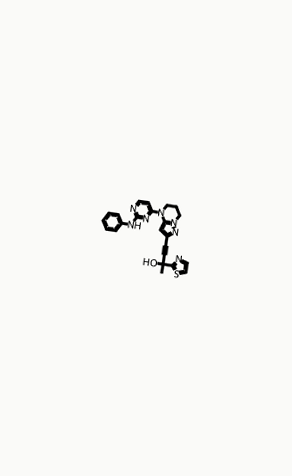 CC(O)(C#Cc1cc2n(n1)CCCN2c1ccnc(Nc2ccccc2)n1)c1nccs1